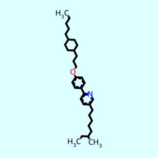 CCCCCC1CCC(CCCOc2ccc(-c3ccc(CCCCCC(C)CC)cn3)cc2)CC1